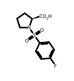 O=C(O)[C@@H]1CCCN1S(=O)(=O)c1ccc(F)cc1